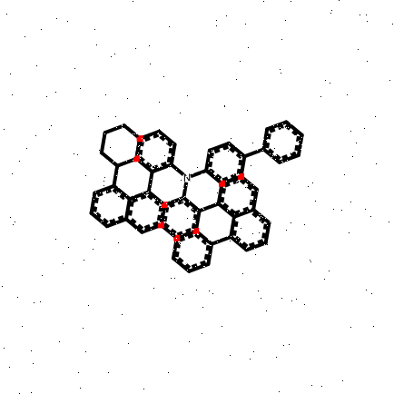 c1ccc(-c2ccc(N(c3ccccc3-c3cccc4cccc(-c5ccccc5)c34)c3ccccc3-c3cccc4cccc(C5CCCCC5)c34)cc2)cc1